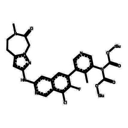 Cc1c(-c2cc3cc(Nc4cc5n(n4)CC(=O)N(C)CC5)ncc3c(Cl)c2F)cncc1N(C(=O)OC(C)(C)C)C(=O)OC(C)(C)C